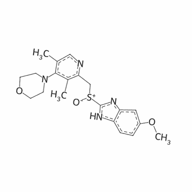 COc1ccc2[nH]c([S+]([O-])Cc3ncc(C)c(N4CCOCC4)c3C)nc2c1